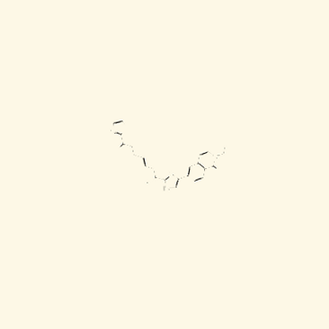 CCn1ccc2cc(-c3c[nH]c(C(N)C/C=C/CCC(=O)c4ncco4)n3)ccc2c1=O